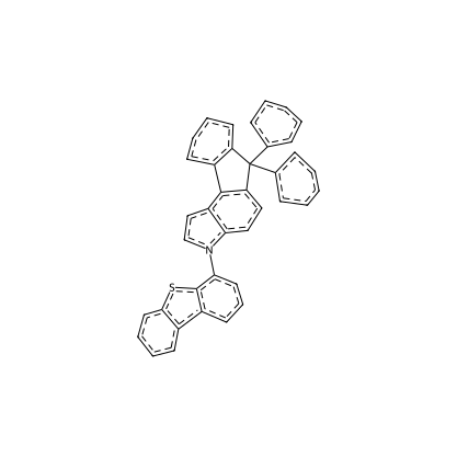 c1ccc(C2(c3ccccc3)c3ccccc3-c3c2ccc2c3ccn2-c2cccc3c2sc2ccccc23)cc1